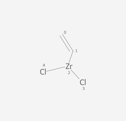 C=[CH][Zr]([Cl])[Cl]